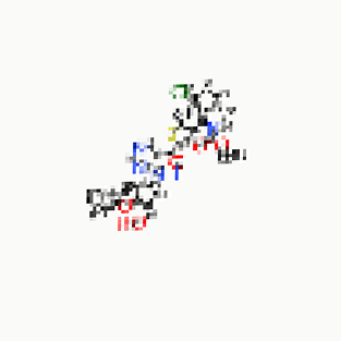 Cc1sc(C(=O)c2cncnc2N[C@@H]2C[C@H](CO)[C@@H](O[Si](C(C)C)(C(C)C)C(C)C)C2)cc1[C@H]1c2cc(Cl)ccc2CCN1C(=O)OC(C)(C)C